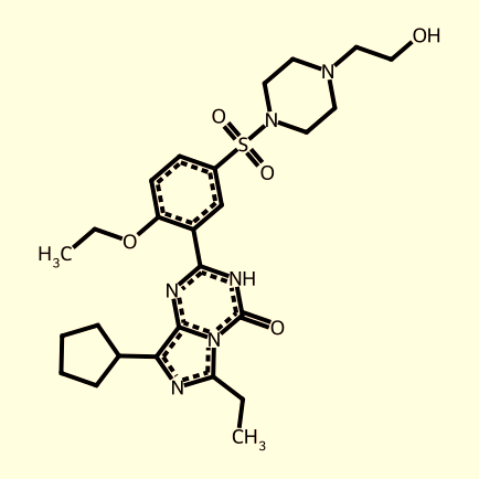 CCOc1ccc(S(=O)(=O)N2CCN(CCO)CC2)cc1-c1nc2c(C3CCCC3)nc(CC)n2c(=O)[nH]1